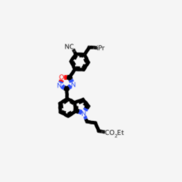 CCOC(=O)CCCn1ccc2c(-c3noc(-c4ccc(CC(C)C)c(C#N)c4)n3)cccc21